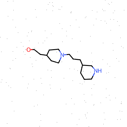 [O]CCC1CCN(CCCC2CCCNC2)CC1